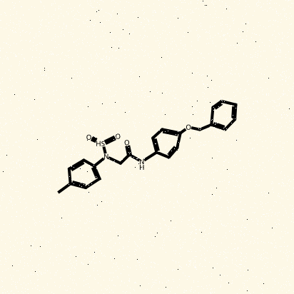 Cc1ccc(N(CC(=O)Nc2ccc(OCc3ccccc3)cc2)[SH](=O)=O)cc1